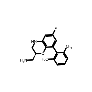 NC[C@H]1CNc2cc(F)cc(-c3c(C(F)(F)F)cccc3C(F)(F)F)c2O1